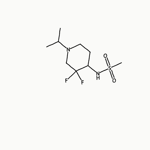 CC(C)N1CCC(NS(C)(=O)=O)C(F)(F)C1